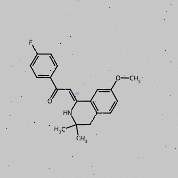 COc1ccc2c(c1)/C(=C/C(=O)c1ccc(F)cc1)NC(C)(C)C2